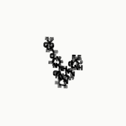 CC(NC(=O)c1ncc2c(n1)N(C(=O)Nc1cnc(OC[C@H]3COC(C)(C)O3)cn1)[C@H]1CCCN2C1)C(F)(F)F